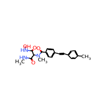 CNC(=O)C(C(=O)NO)N(C)C(=O)c1ccc(C#Cc2ccc(C)cc2)cc1